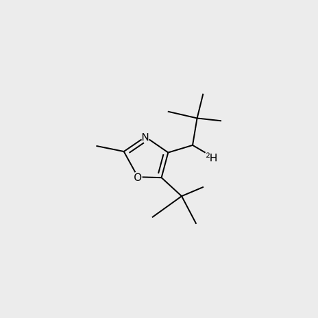 [2H]C(c1nc(C)oc1C(C)(C)C)C(C)(C)C